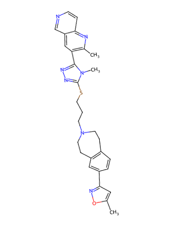 Cc1cc(-c2ccc3c(c2)CCN(CCCSc2nnc(-c4cc5cnccc5nc4C)n2C)CC3)no1